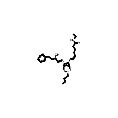 CCCCB1OC2CC(O1)[C@H](C/C=C\CCCC(=O)NCC)[C@H]2/C=C/[C@H](O)CCc1ccccc1